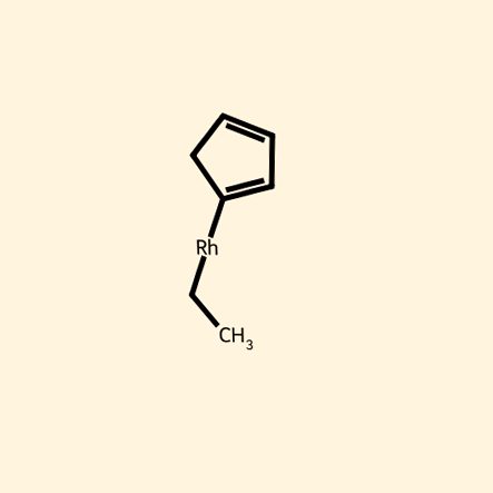 C[CH2][Rh][C]1=CC=CC1